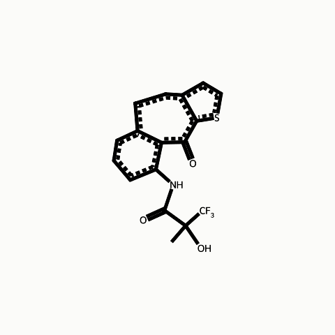 CC(O)(C(=O)Nc1cccc2ccc3ccsc3c(=O)c12)C(F)(F)F